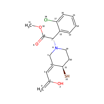 C=C(O)/C=C1/CN([C@H](C(=O)OC)c2ccccc2Cl)CC[C@H]1S